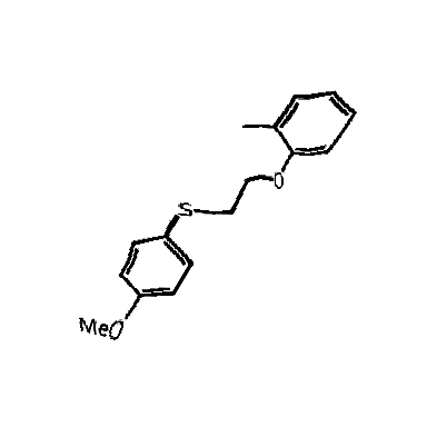 COc1ccc(SCCOc2ccccc2C)cc1